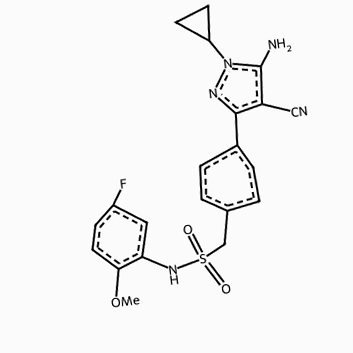 COc1ccc(F)cc1NS(=O)(=O)Cc1ccc(-c2nn(C3CC3)c(N)c2C#N)cc1